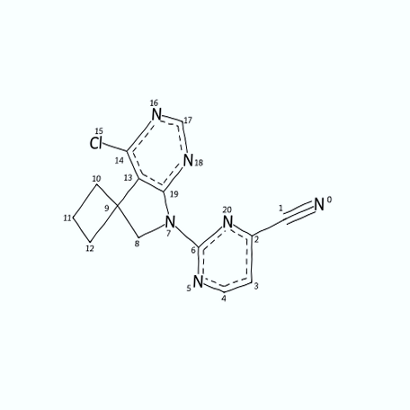 N#Cc1ccnc(N2CC3(CCC3)c3c(Cl)ncnc32)n1